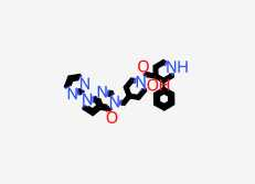 O=C(N1CCC(Cn2cnc3c(ccn3-c3ncccn3)c2=O)CC1)[C@@]1(O)CCNC[C@H]1c1ccccc1